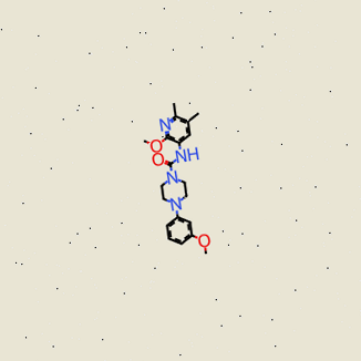 COc1cccc(N2CCN(C(=O)Nc3cc(C)c(C)nc3OC)CC2)c1